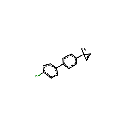 BC1(c2ccc(-c3ccc(Br)cc3)cc2)C=C1